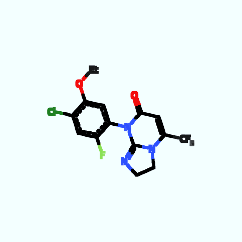 CCOc1cc(N2C(=O)C=C(C(F)(F)F)N3CCN=C32)c(F)cc1Cl